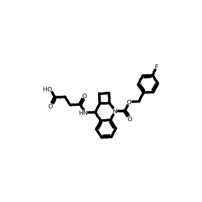 O=C(O)CCC(=O)NC1c2ccccc2N(C(=O)OCc2ccc(F)cc2)C2CCC12